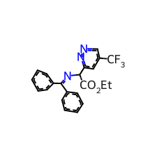 CCOC(=O)C(N=C(c1ccccc1)c1ccccc1)c1cc(C(F)(F)F)cnn1